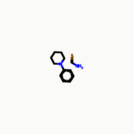 NC=S.c1ccc(N2CCCCC2)cc1